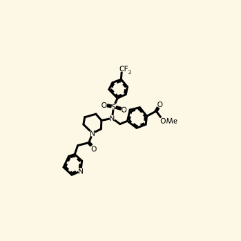 COC(=O)c1ccc(CN(C2CCCN(C(=O)Cc3cccnc3)C2)S(=O)(=O)c2ccc(C(F)(F)F)cc2)cc1